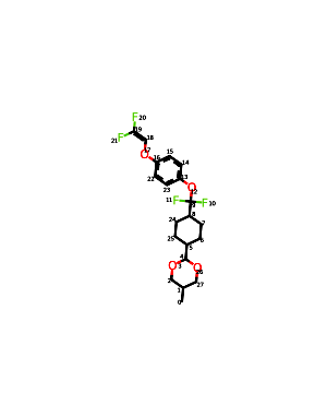 CC1COC(C2CCC(C(F)(F)Oc3ccc(OC=C(F)F)cc3)CC2)OC1